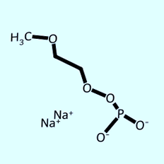 COCCOOP([O-])[O-].[Na+].[Na+]